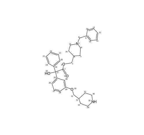 O=C(OCC1CCN(Cc2ccccc2)CC1)C(O)(c1ccccc1)c1cccc(OCC2CCNCC2)c1